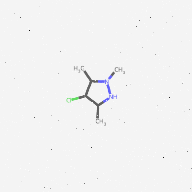 CC1NN(C)C(C)C1Cl